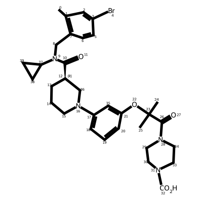 Cc1cc(Br)ccc1CN(C(=O)[C@@H]1CCCN(c2cccc(OC(C)(C)C(=O)N3CCN(C(=O)O)CC3)c2)C1)C1CC1